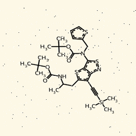 CC(Cc1sc2c(N(Cc3cccs3)C(=O)OC(C)(C)C)snc2c1C#C[Si](C)(C)C)NC(=O)OC(C)(C)C